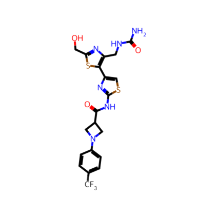 NC(=O)NCc1nc(CO)sc1-c1csc(NC(=O)C2CN(c3ccc(C(F)(F)F)cc3)C2)n1